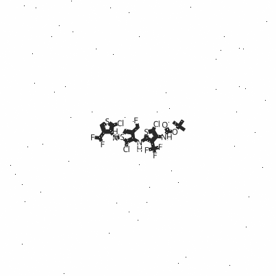 CC(C)(C)OC(=O)Nc1c(Cl)sc(NC2=C(Cl)[SH](Nc3c(C(F)F)csc3Cl)C=C2CF)c1C(F)(F)F